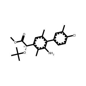 COC(=O)[C@@H](OC(C)(C)C)c1cc(C)c(-c2ccc(Cl)c(C)c2)c(N)c1C